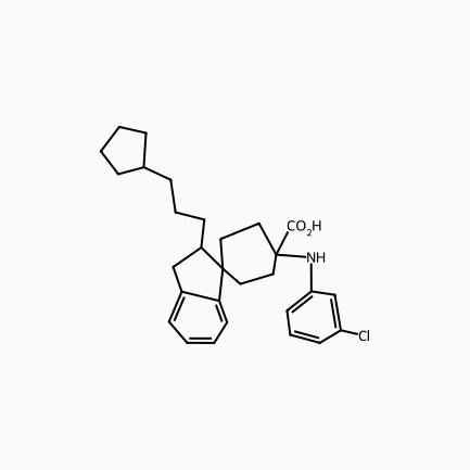 O=C(O)C1(Nc2cccc(Cl)c2)CCC2(CC1)c1ccccc1CC2CCCC1CCCC1